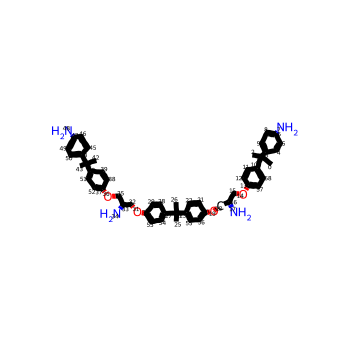 CC(C)(c1ccc(N)cc1)c1ccc(OCC(N)COc2ccc(C(C)(C)c3ccc(OCC(N)COc4ccc(C(C)(C)c5ccc(N)cc5)cc4)cc3)cc2)cc1